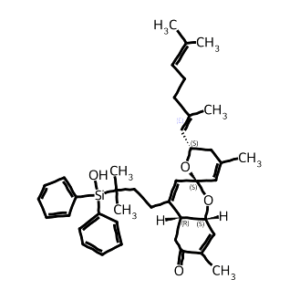 CC(C)=CCC/C(C)=C/[C@@H]1CC(C)=C[C@]2(C=C(CCC(C)(C)[Si](O)(c3ccccc3)c3ccccc3)[C@H]3CC(=O)C(C)=C[C@H]3O2)O1